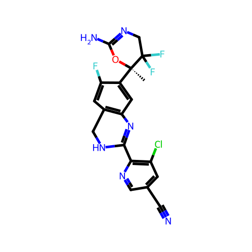 C[C@]1(c2cc3c(cc2F)CNC(c2ncc(C#N)cc2Cl)=N3)OC(N)=NCC1(F)F